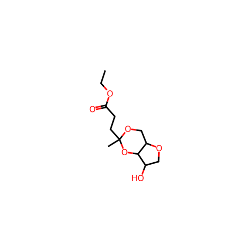 CCOC(=O)CCC1(C)OCC2OCC(O)C2O1